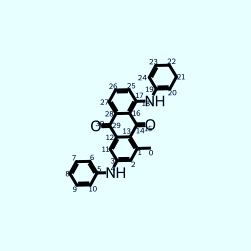 Cc1cc(Nc2ccccc2)cc2c1C(=O)c1c(NC3=CCCC=C3)cccc1C2=O